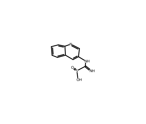 N=C(Nc1cnc2ccccc2c1)S(=O)O